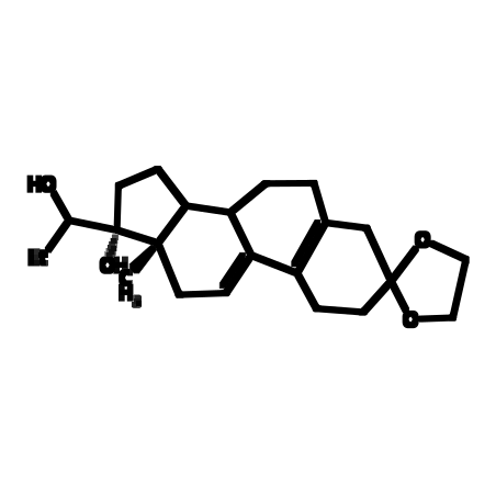 CCC(O)[C@@]1(O)CCC2C3CCC4=C(CCC5(C4)OCCO5)C3=CC[C@@]21C